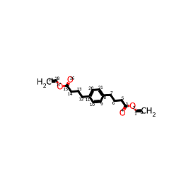 C=COC(=O)CCCc1ccc(CCCC(=O)OC=C)cc1